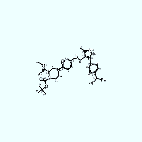 COC(=O)[C@H]1CN(c2ccc(OCc3c(C)nnn3-c3ccc(C(F)F)cc3)nn2)CCN1C(=O)OC(C)(C)C